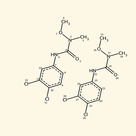 CON(C)C(=O)Nc1ccc(Cl)c(Cl)c1.CON(C)C(=O)Nc1ccc(Cl)c(Cl)c1